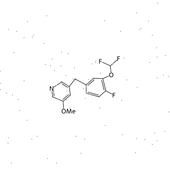 COc1cncc([CH]c2ccc(F)c(OC(F)F)c2)c1